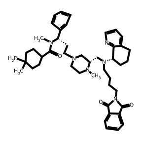 CN1CCN(CC[C@@H](c2ccccc2)N(C)C(=O)C2CCC(C)(P)CC2)C[C@@H]1CN(CCCCN1C(=O)c2ccccc2C1=O)[C@H]1CCCc2cccnc21